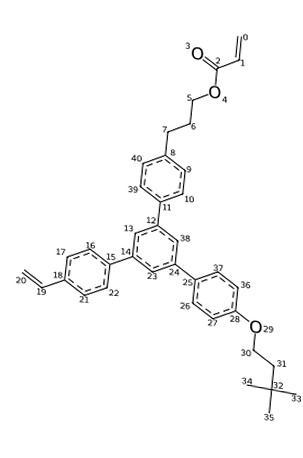 C=CC(=O)OCCCc1ccc(-c2cc(-c3ccc(C=C)cc3)cc(-c3ccc(OCCC(C)(C)C)cc3)c2)cc1